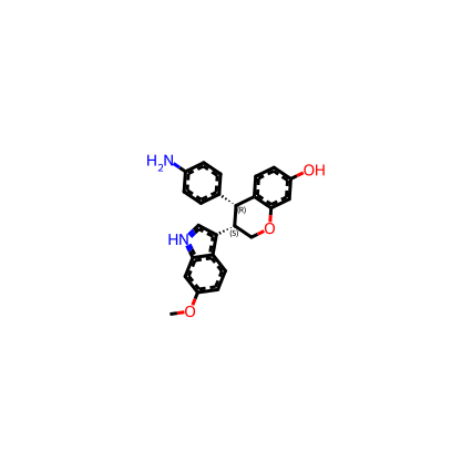 COc1ccc2c([C@H]3COc4cc(O)ccc4[C@H]3c3ccc(N)cc3)c[nH]c2c1